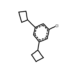 Clc1cc(C2CCC2)cc(C2CCC2)c1